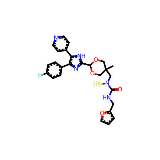 CC1(CN(S)C(=O)NCc2ccco2)COC(c2nc(-c3ccc(F)cc3)c(-c3ccncc3)[nH]2)OC1